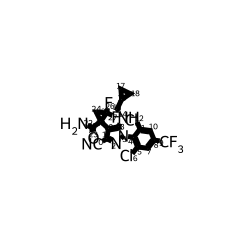 N#Cc1nn(-c2c(Cl)cc(C(F)(F)F)cc2Cl)c(NCC2CC2)c1C1(C(N)=O)CC1(F)F